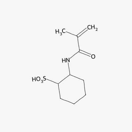 C=C(C)C(=O)NC1CCCCC1S(=O)(=O)O